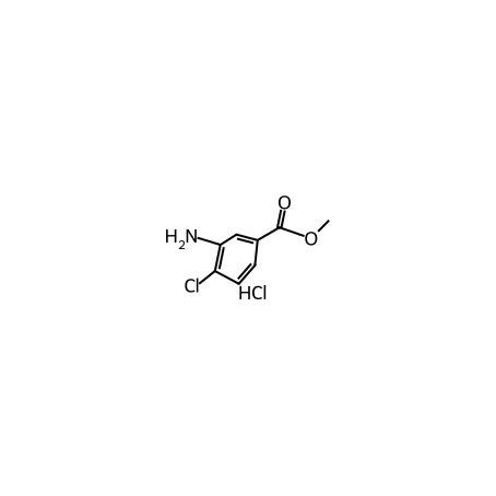 COC(=O)c1ccc(Cl)c(N)c1.Cl